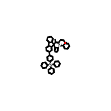 C=C/C=C\C1=C(C)C2(c3ccccc3-c3ccc(-c4ccc([Si](c5ccccc5)(c5ccccc5)c5ccccc5)cc4)cc32)c2ccccc2N1c1ccccc1